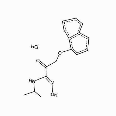 CC(C)NC(=NO)C(=O)COc1cccc2ccccc12.Cl